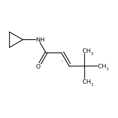 CC(C)(C)/C=C/C(=O)NC1CC1